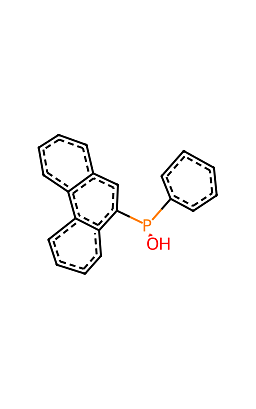 O[P@@](c1ccccc1)c1cc2ccccc2c2ccccc12